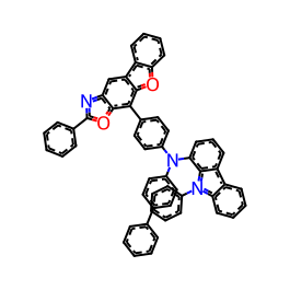 c1ccc(-c2ccc(N(c3ccc(-c4c5oc(-c6ccccc6)nc5cc5c4oc4ccccc45)cc3)c3cccc4c5ccccc5n(-c5ccccc5)c34)cc2)cc1